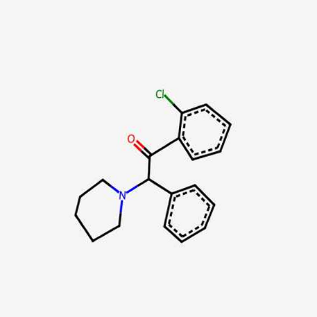 O=C(c1ccccc1Cl)C(c1ccccc1)N1CCCCC1